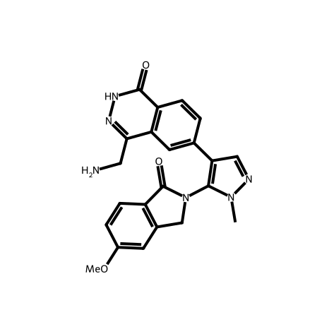 COc1ccc2c(c1)CN(c1c(-c3ccc4c(=O)[nH]nc(CN)c4c3)cnn1C)C2=O